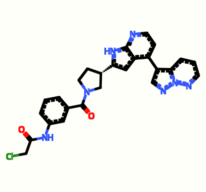 O=C(CCl)Nc1cccc(C(=O)N2CC[C@H](c3cc4c(-c5cnn6ncccc56)ccnc4[nH]3)C2)c1